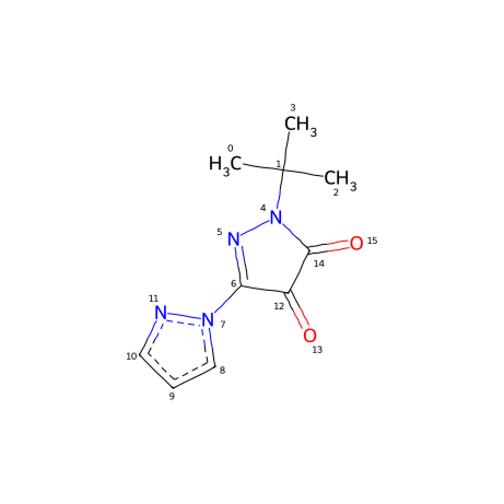 CC(C)(C)N1N=C(n2cccn2)C(=O)C1=O